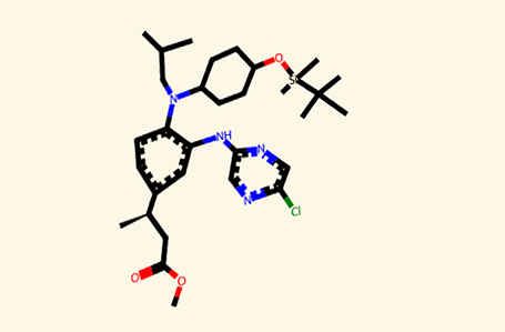 COC(=O)C[C@@H](C)c1ccc(N(CC(C)C)C2CCC(O[Si](C)(C)C(C)(C)C)CC2)c(Nc2cnc(Cl)cn2)c1